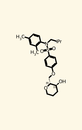 Cc1ccc(N(CC(C)C)S(=O)(=O)c2ccc(OC[C@H]3OCCC[C@@H]3O)cc2)c(C)c1